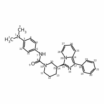 CN(C)c1ccc(NC(=O)N2CCC[C@H](c3nc(-c4ccccc4)c4ccccn34)C2)cc1